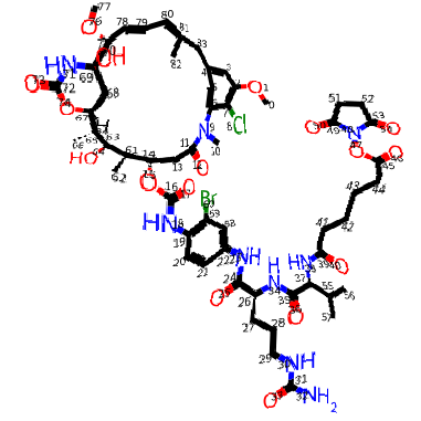 COc1cc2cc(c1Cl)N(C)C(=O)C[C@H](OC(=O)Nc1ccc(NC(=O)[C@H](CCCNC(N)=O)NC(=O)[C@@H](NC(=O)CCCCC(=O)ON3C(=O)CCC3=O)C(C)C)cc1Br)[C@@H](C)[C@@H](O)[C@H](C)[C@@H]1C[C@@](O)(NC(=O)O1)[C@H](OC)/C=C/C=C(\C)C2